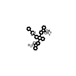 CC1(C)c2ccccc2-c2ccc(-c3c4ccccc4c(-c4ccc5c(c4)C(C)(C)c4ccccc4-5)c4cc(-c5ncc(-c6ccccc6)cn5)ccc34)cc21